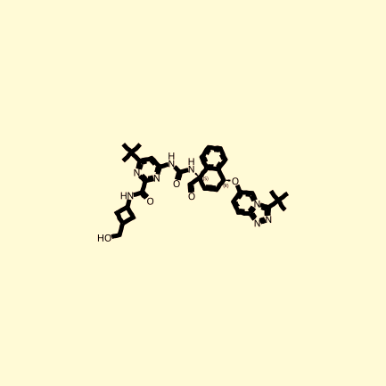 CC(C)(C)c1cc(NC(=O)N[C@@]2(C=O)C=C[C@@H](Oc3ccc4nnc(C(C)(C)C)n4c3)c3ccccc32)nc(C(=O)NC2CC(CO)C2)n1